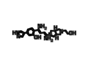 N/C(=C\C=C(/N)N1C[C@H]2CN(CCO)C[C@H]2C1)c1ccc(-c2cn[nH]c2)cc1O